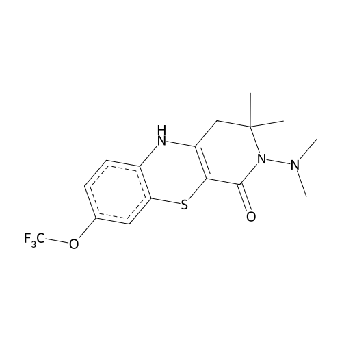 CN(C)N1C(=O)C2=C(CC1(C)C)Nc1ccc(OC(F)(F)F)cc1S2